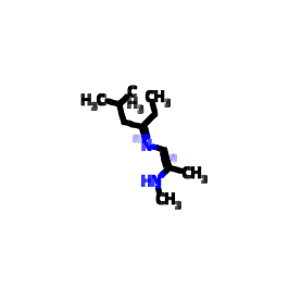 CC/C(CC(C)C)=N\C=C(\C)NC